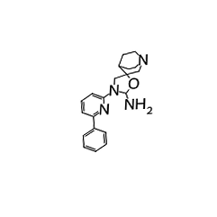 NC1OC2(CN3CCC2CC3)CN1c1cccc(-c2ccccc2)n1